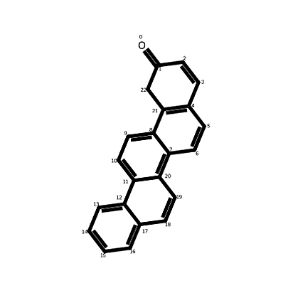 O=C1C=Cc2ccc3c(ccc4c5ccccc5ccc34)c2C1